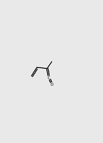 C=CC(C)=C=O